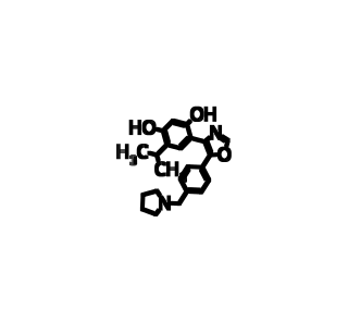 CC(C)c1cc(-c2ncoc2-c2ccc(CN3CCCC3)cc2)c(O)cc1O